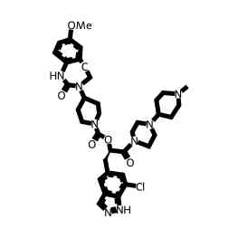 COc1ccc2c(c1)CCN(C1CCN(C(=O)O[C@H](Cc3cc(Cl)c4[nH]ncc4c3)C(=O)N3CCN(C4CCN(C)CC4)CC3)CC1)C(=O)N2